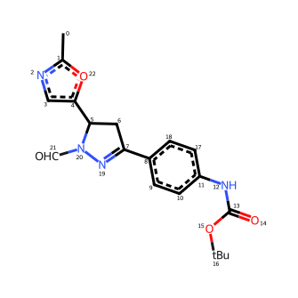 Cc1ncc(C2CC(c3ccc(NC(=O)OC(C)(C)C)cc3)=NN2C=O)o1